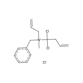 C=CCC(Cl)(Cl)[N+](C)(CC=C)Cc1ccccc1.[Cl-]